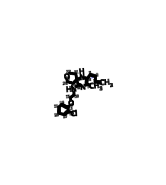 C=C/C=C\C1=C(C)N=C(NCCOc2ccccc2Cl)C2(CCOCC2)N1